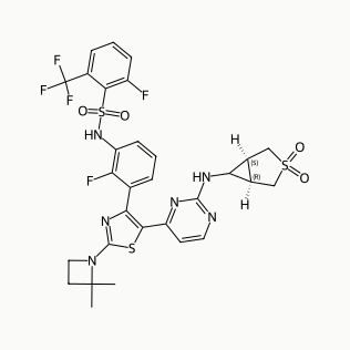 CC1(C)CCN1c1nc(-c2cccc(NS(=O)(=O)c3c(F)cccc3C(F)(F)F)c2F)c(-c2ccnc(NC3[C@H]4CS(=O)(=O)C[C@@H]34)n2)s1